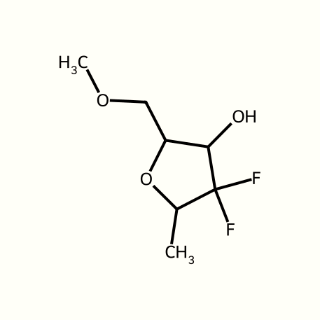 COCC1OC(C)C(F)(F)C1O